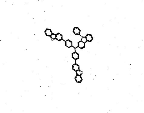 C1=CC(N(C2=CC3C(C=C2)c2ccccc2N3c2ccccc2)c2ccc(-c3ccc4c(c3)oc3ccccc34)cc2)CC=C1c1ccc2c(c1)oc1ccccc12